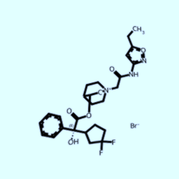 CCc1cc(NC(=O)C[N+]23CCC(CC2)C(OC(=O)[C@](O)(c2ccccc2)C2CCC(F)(F)C2)C3)no1.[Br-]